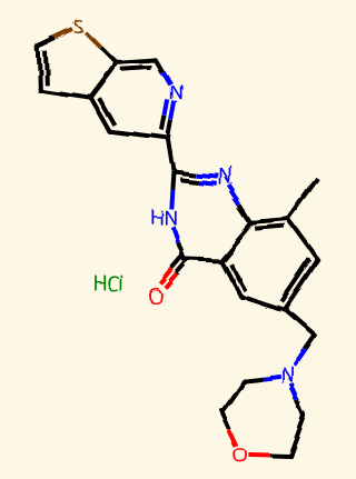 Cc1cc(CN2CCOCC2)cc2c(=O)[nH]c(-c3cc4ccsc4cn3)nc12.Cl